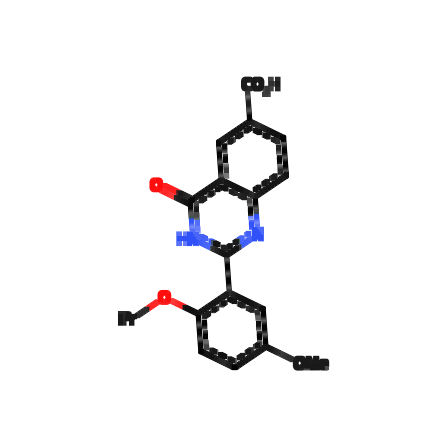 COc1ccc(OC(C)C)c(-c2nc3ccc(C(=O)O)cc3c(=O)[nH]2)c1